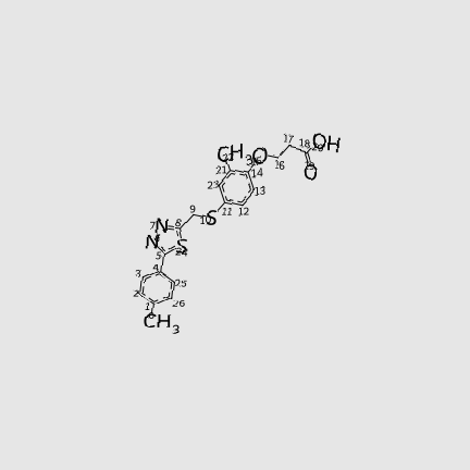 Cc1ccc(-c2nnc(CSc3ccc(OCCC(=O)O)c(C)c3)s2)cc1